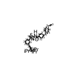 C#CCN1CCN(Cc2ccc(C(=O)Nc3nc(-c4cccc(C#CS(C(C)C)(C(C)C)C(C)C)c4)cs3)cc2)CC1